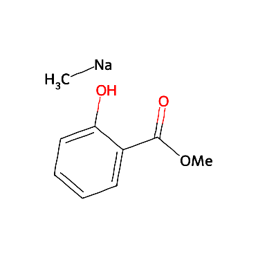 COC(=O)c1ccccc1O.[CH3][Na]